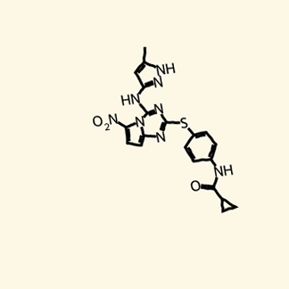 Cc1cc(Nc2nc(Sc3ccc(NC(=O)C4CC4)cc3)nc3ccc([N+](=O)[O-])n23)n[nH]1